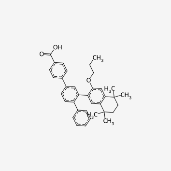 CCCOc1cc2c(cc1-c1cc(-c3ccc(C(=O)O)cc3)ccc1-c1ccccc1)C(C)(C)CCC2(C)C